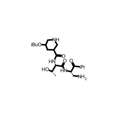 CC(C)COC1CNCC(C(=O)N[C@H](C(=O)N[C@@H](CN)C(=O)C(C)C)[C@H](C)O)C1